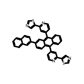 c1ccc2cc(-c3ccc4c(-c5ccnc(-c6cncs6)c5)c5ccccc5c(-c5ccnc(-c6cncs6)c5)c4c3)ccc2c1